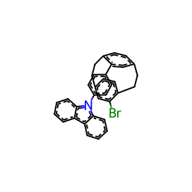 Brc1cc2ccc1CCc1ccc(c(-c3ccc(-n4c5ccccc5c5ccccc54)cc3)c1)CC2